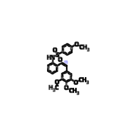 COc1ccc(S(=O)(=O)Nc2ccccc2/C=C\c2cc(OC)c(OC)c(OC)c2)cc1